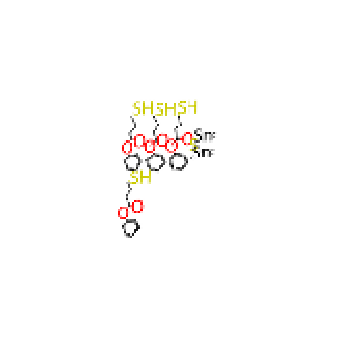 O=C(CCCS)Oc1ccccc1.O=C(CCCS)Oc1ccccc1.O=C(CCCS)Oc1ccccc1.O=C(CCCS)Oc1ccccc1.[CH3][Sn][S][Sn][CH3]